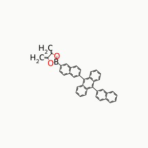 C=C1OB(c2ccc3cc(-c4c5ccccc5c(-c5ccc6ccccc6c5)c5ccccc45)ccc3c2)OC1=C